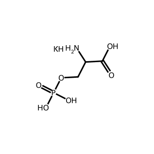 NC(COP(=O)(O)O)C(=O)O.[KH]